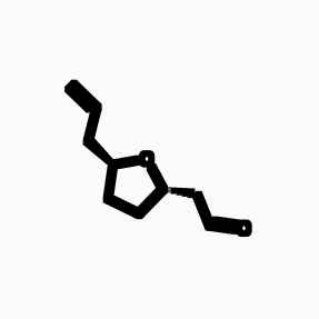 C=CC[C@@H]1CC[C@@H](CC=O)O1